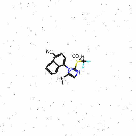 CBc1cnc(SC(F)(F)C(=O)O)n1-c1ccc(C#N)c2ccccc12